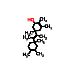 CC1=C(C)CC(C)(C(C)=C(C)C2(C)CC(C)=C(C)C(O)C2)CC1